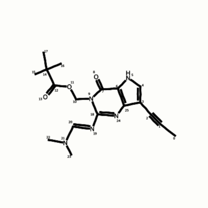 CC#Cc1c[nH]c2c(=O)n(COC(=O)C(C)(C)C)c(N=CN(C)C)nc12